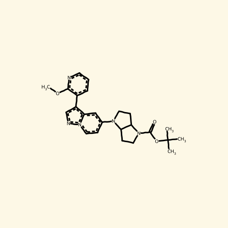 COc1ncccc1-c1cnn2ccc(N3CCC4C3CCN4C(=O)OC(C)(C)C)cc12